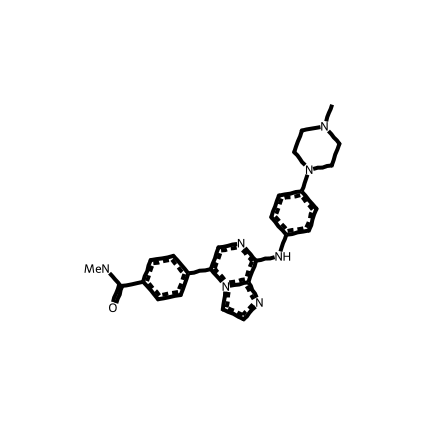 CNC(=O)c1ccc(-c2cnc(Nc3ccc(N4CCN(C)CC4)cc3)c3nccn23)cc1